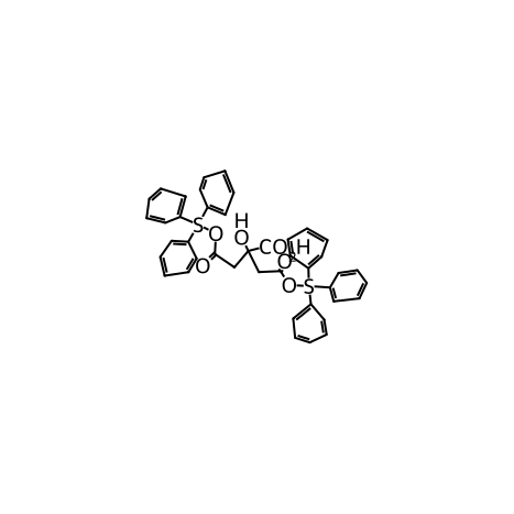 O=C(CC(O)(CC(=O)OS(c1ccccc1)(c1ccccc1)c1ccccc1)C(=O)O)OS(c1ccccc1)(c1ccccc1)c1ccccc1